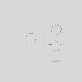 O=C1C2C3C=CC(C3)C2C(=O)N1c1ccccc1OCc1ccc([N+](=O)[O-])cc1